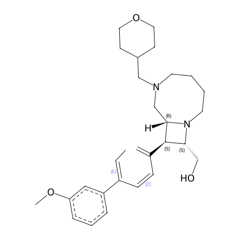 C=C(/C=C\C(=C/C)c1cccc(OC)c1)[C@@H]1[C@@H](CO)N2CCCCN(CC3CCOCC3)C[C@@H]12